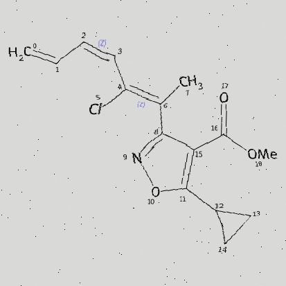 C=C/C=C\C(Cl)=C(/C)c1noc(C2CC2)c1C(=O)OC